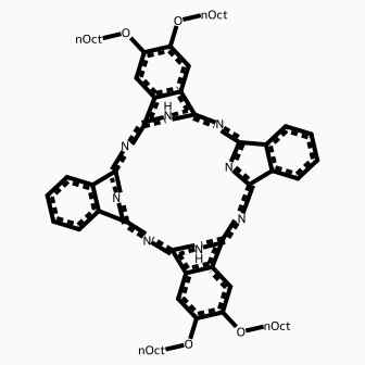 CCCCCCCCOc1cc2c3nc4nc(nc5[nH]c(nc6nc(nc([nH]3)c2cc1OCCCCCCCC)-c1ccccc1-6)c1cc(OCCCCCCCC)c(OCCCCCCCC)cc51)-c1ccccc1-4